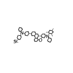 Cc1cc(C)c(N(c2ccccc2)c2ccc3c(c2)Oc2cccc4c2c-3cc2ccc(-c3ccc(N(c5ccccc5)c5ccc([Si](C)(C)C)cc5)cc3)cc24)c(C)c1